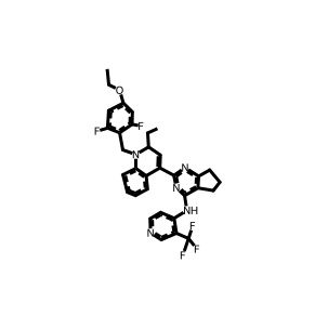 CCOc1cc(F)c(CN2c3ccccc3C(c3nc4c(c(Nc5ccncc5C(F)(F)F)n3)CCC4)=CC2CC)c(F)c1